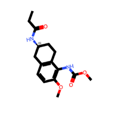 CCC(=O)N[C@H]1CCc2c(ccc(OC)c2NC(=O)OC)C1